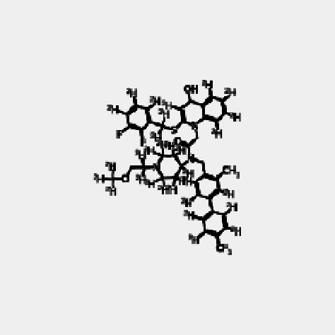 [2H]C1=C(SC([2H])([2H])c2c([2H])c([2H])c([2H])c(F)c2F)N(CC(=O)N(Cc2c([2H])c([2H])c(-c3c([2H])c([2H])c(C(F)(F)F)c([2H])c3[2H])c([2H])c2C)C2([2H])C([2H])([2H])C([2H])([2H])N(C([2H])([2H])COC([2H])([2H])[2H])C([2H])([2H])C2([2H])[2H])c2c([2H])c([2H])c([2H])c([2H])c2C1O